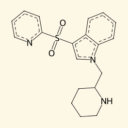 O=S(=O)(c1ccccn1)c1cn(CC2CCCCN2)c2ccccc12